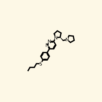 CCCCSc1ccc(-c2ccc(N3CCC[C@H]3CN3CCCC3)nn2)cc1